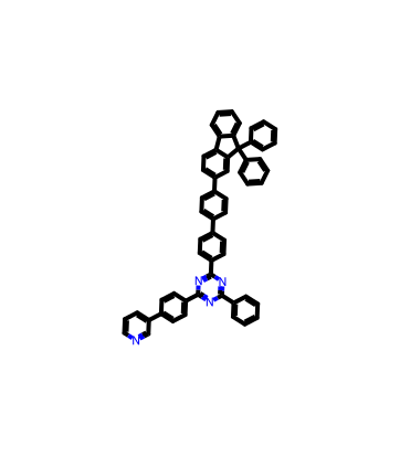 c1ccc(-c2nc(-c3ccc(-c4ccc(-c5ccc6c(c5)C(c5ccccc5)(c5ccccc5)c5ccccc5-6)cc4)cc3)nc(-c3ccc(-c4cccnc4)cc3)n2)cc1